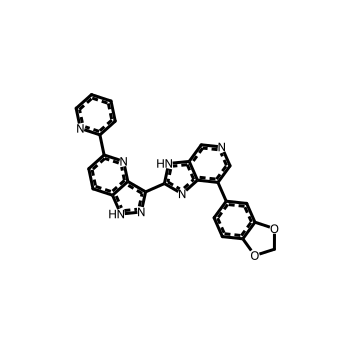 c1ccc(-c2ccc3[nH]nc(-c4nc5c(-c6ccc7c(c6)OCO7)cncc5[nH]4)c3n2)nc1